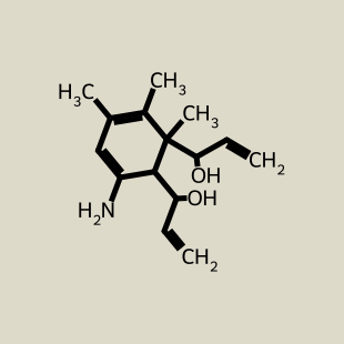 C=CC(O)C1C(N)=CC(C)=C(C)C1(C)C(O)C=C